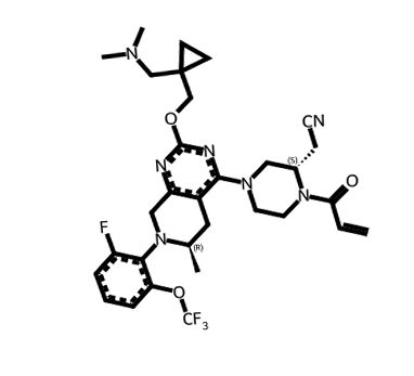 C=CC(=O)N1CCN(c2nc(OCC3(CN(C)C)CC3)nc3c2C[C@@H](C)N(c2c(F)cccc2OC(F)(F)F)C3)C[C@@H]1CC#N